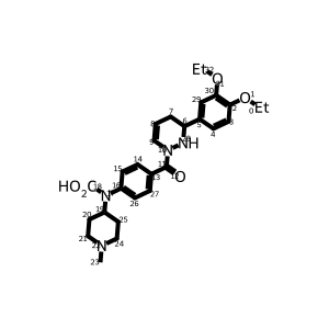 CCOc1ccc(C2CC=CN(C(=O)c3ccc(N(C(=O)O)C4CCN(C)CC4)cc3)N2)cc1OCC